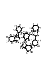 c1ccc(-c2nc3ccccc3n2-c2cc(-c3ccccc3-n3cnc4ccccc43)cc(-n3cnc4ccccc43)c2)cc1